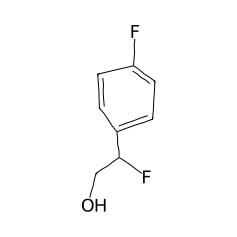 OCC(F)c1ccc(F)cc1